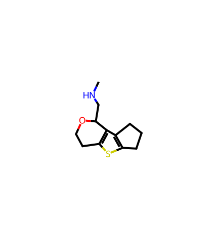 CNCC1OCCc2sc3c(c21)CCC3